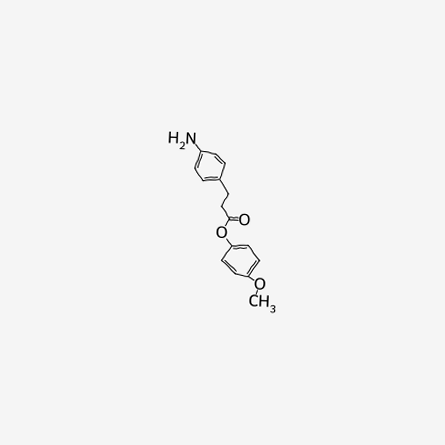 COc1ccc(OC(=O)CCc2ccc(N)cc2)cc1